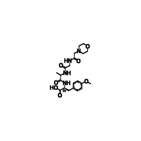 COc1ccc(C[C@H](NC(=O)C(C)NC(=O)CNC(=O)CN2CCOCC2)C(=O)O)cc1